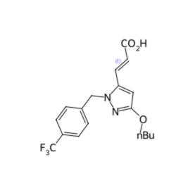 CCCCOc1cc(/C=C/C(=O)O)n(Cc2ccc(C(F)(F)F)cc2)n1